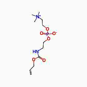 C=CCOC(=O)NCCOP(=O)([O-])OCC[N+](C)(C)C